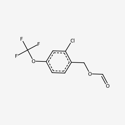 O=COCc1ccc(OC(F)(F)F)cc1Cl